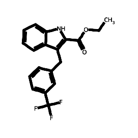 CCOC(=O)c1[nH]c2ccccc2c1Cc1cccc(C(F)(F)F)c1